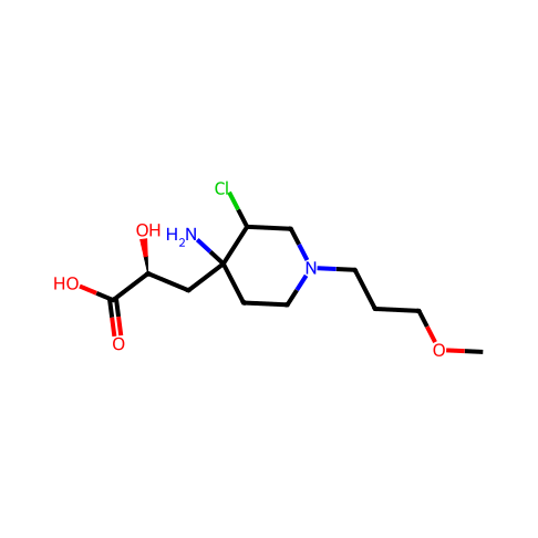 COCCCN1CCC(N)(C[C@H](O)C(=O)O)C(Cl)C1